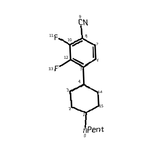 CCCCCC1CCC(c2ccc(C#N)c(F)c2F)CC1